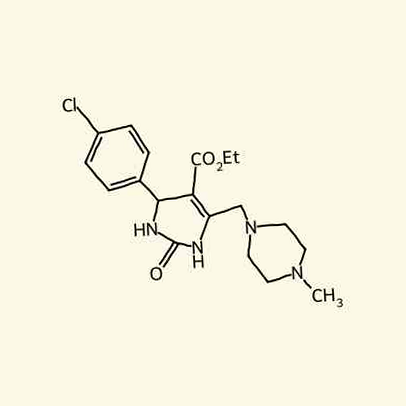 CCOC(=O)C1=C(CN2CCN(C)CC2)NC(=O)NC1c1ccc(Cl)cc1